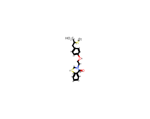 CCSC(Cc1ccc(OCCN2CSc3ccccc3C2=O)cc1)C(=O)O